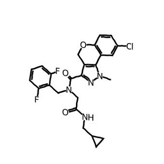 Cn1nc(C(=O)N(CC(=O)NCC2CC2)Cc2c(F)cccc2F)c2c1-c1cc(Cl)ccc1OC2